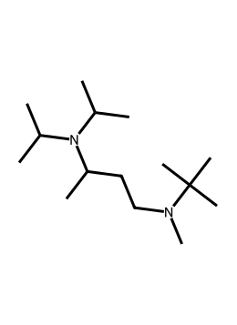 CC(C)N(C(C)C)C(C)CCN(C)C(C)(C)C